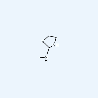 CNC1NCCS1